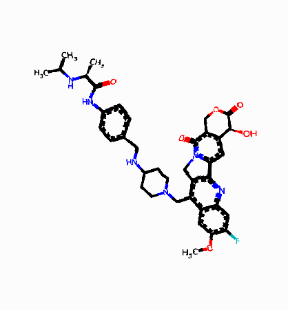 COc1cc2c(CN3CCC(NCc4ccc(NC(=O)[C@H](C)NC(C)C)cc4)CC3)c3c(nc2cc1F)-c1cc2c(c(=O)n1C3)COC(=O)[C@H]2O